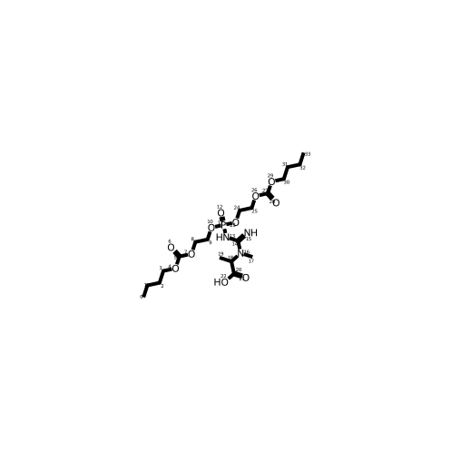 CCCCOC(=O)OCCOP(=O)(NC(=N)N(C)C(C)C(=O)O)OCCOC(=O)OCCCC